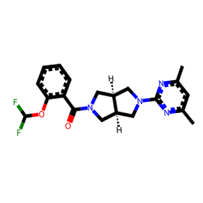 Cc1cc(C)nc(N2C[C@H]3CN(C(=O)c4ccccc4OC(F)F)C[C@H]3C2)n1